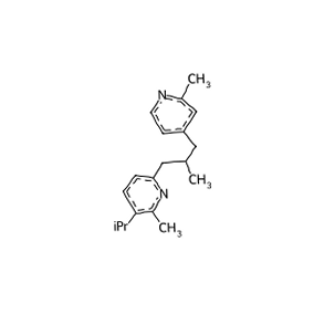 Cc1cc(CC(C)Cc2ccc(C(C)C)c(C)n2)ccn1